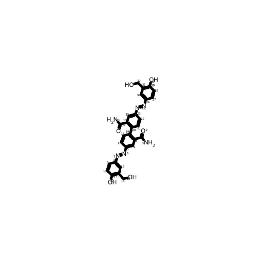 NC(=O)c1cc(N=Nc2ccc(O)c(CO)c2)ccc1-c1ccc(N=Nc2ccc(O)c(CO)c2)cc1C(N)=O